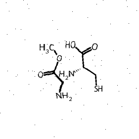 COC(=O)CN.N[C@@H](CS)C(=O)O